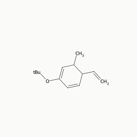 C=CC1C=CC(OC(C)(C)C)=CC1C